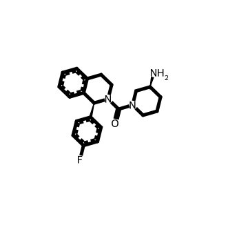 N[C@H]1CCCN(C(=O)N2CCc3ccccc3[C@@H]2c2ccc(F)cc2)C1